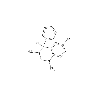 CC1CN(C)c2ccc(Cl)nc2[N+]1([O-])c1ccccc1